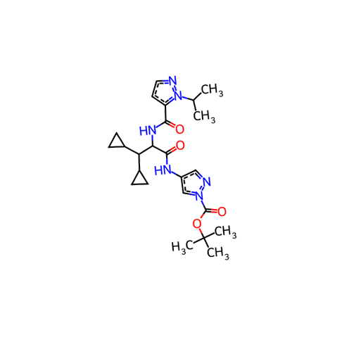 CC(C)n1nccc1C(=O)NC(C(=O)Nc1cnn(C(=O)OC(C)(C)C)c1)C(C1CC1)C1CC1